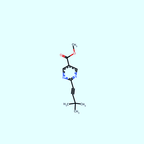 COC(=O)c1cnc(C#CC(C)(C)C)nc1